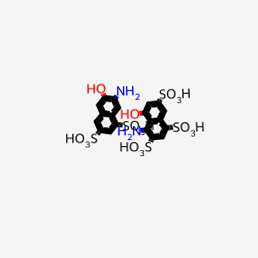 Nc1c(S(=O)(=O)O)cc(S(=O)(=O)O)c2cc(S(=O)(=O)O)cc(O)c12.Nc1cc2c(S(=O)(=O)O)cc(S(=O)(=O)O)cc2cc1O